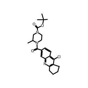 CC1CN(C(=O)OC(C)(C)C)CCN1C(=O)c1ccc2c(Cl)c3c(nc2c1)CCCC3